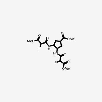 COC(=O)C1CC(NC(=O)C(F)C(=O)OC)C(NC(=O)C(F)C(=O)OC)C1